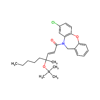 CCCCCC(C)(C=CC(=O)N1Cc2ccccc2Oc2ccc(Cl)cc21)O[Si](C)(C)C